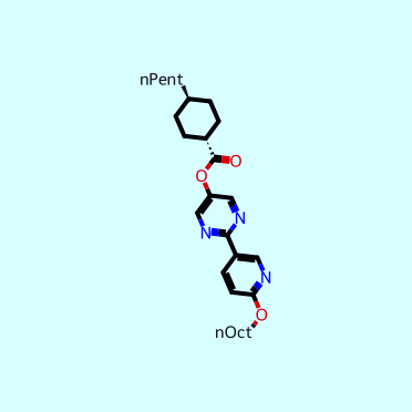 CCCCCCCCOc1ccc(-c2ncc(OC(=O)[C@H]3CC[C@H](CCCCC)CC3)cn2)cn1